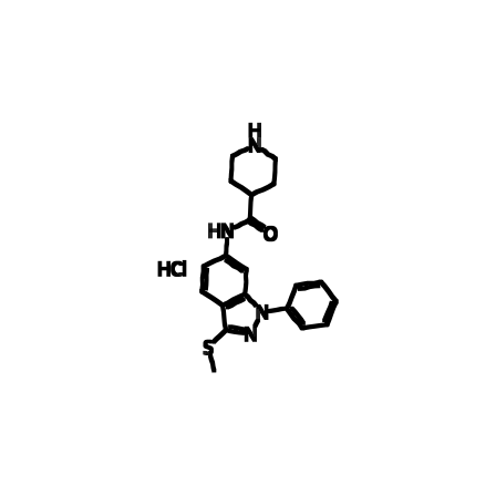 CSc1nn(-c2ccccc2)c2cc(NC(=O)C3CCNCC3)ccc12.Cl